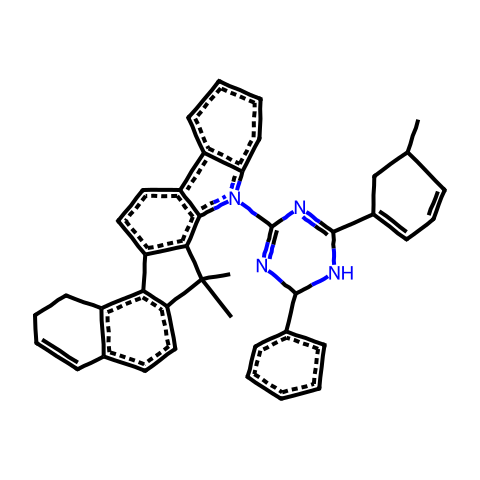 CC1C=CC=C(C2=NC(n3c4ccccc4c4ccc5c(c43)C(C)(C)c3ccc4c(c3-5)CCC=C4)=NC(c3ccccc3)N2)C1